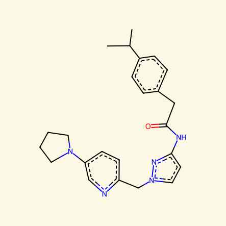 CC(C)c1ccc(CC(=O)Nc2ccn(Cc3ccc(N4CCCC4)cn3)n2)cc1